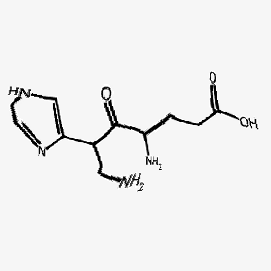 NCC(C(=O)C(N)CCC(=O)O)c1c[nH]cn1